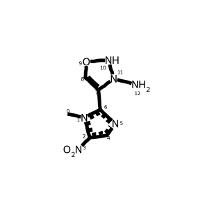 Cn1c([N+](=O)[O-])cnc1C1=CONN1N